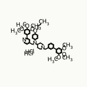 CCCCOc1ccc(N(Cc2ccnc(-c3cc(OC)c(OC)c(OC)c3)c2)C2CCN(Cc3cccc(-c4cc(OC)c(OC)c(OC)c4)c3)CC2)cc1.Cl.Cl